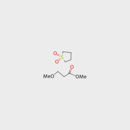 COCCC(=O)OC.O=S1(=O)CCCC1